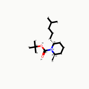 CC(C)CCC[C@@H]1CCC[C@@H](C)N1C(=O)OC(C)(C)C